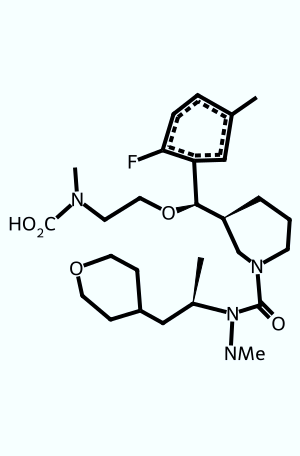 CNN(C(=O)N1CCC[C@H]([C@@H](OCCN(C)C(=O)O)c2cc(C)ccc2F)C1)[C@H](C)CC1CCOCC1